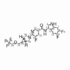 O=C(Nc1c[nH]c2cc(F)c(F)cc12)c1cnc(N2C[C@@H]3[C@@H](COCC(F)(F)F)[C@@H]3C2)c(F)c1